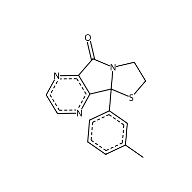 Cc1cccc(C23SCCN2C(=O)c2nccnc23)c1